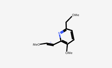 CO/C=C/c1nc(COC)ccc1OC